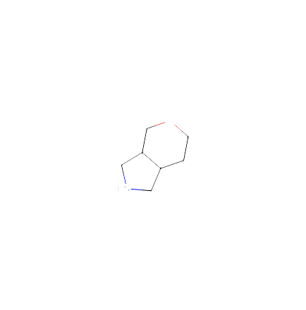 C1CC2CNCC2CO1